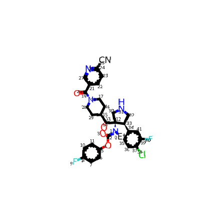 CCN(C(=O)Oc1ccc(F)cc1)[C@]1(C(=O)C2CCN(C(=O)c3ccc(C#N)nc3)CC2)CNC[C@H]1c1ccc(Cl)c(F)c1